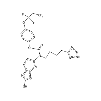 O=C(Oc1ccc(OC(F)(F)CC(F)(F)F)cc1)N(CCCCc1nn[nH]n1)c1ccc2nc(S)sc2n1